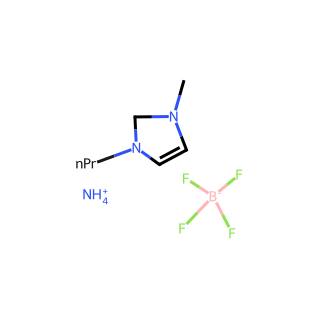 CCCN1C=CN(C)C1.F[B-](F)(F)F.[NH4+]